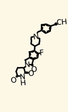 C#Cc1ccc(CN2CCC(c3cc4c(cc3F)C(=O)N(C3CCC(=O)NC3=O)C4)CC2)cc1